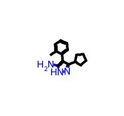 Cc1ccccc1-c1c(C2CCCC2)n[nH]c1N